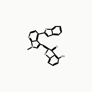 Cn1cc(C=C2Oc3cccc(O)c3C2=O)c2c(-c3cc4ccccc4o3)ccnc21